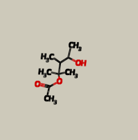 CC(=O)OC(C)(C)C(C)C(C)O